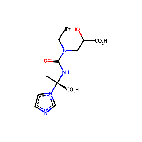 CC(C)CN(CC(O)C(=O)O)C(=O)N[C@](C)(C(=O)O)n1ccnc1